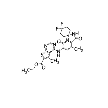 CCOC(=O)c1sc2ncnc(Nc3cc(C)c4n(c3=O)C3(CCC(F)(F)CC3)NC4=O)c2c1C